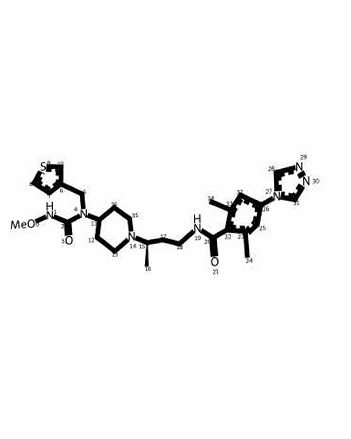 CONC(=O)N(Cc1ccsc1)C1CCN([C@H](C)CCNC(=O)c2c(C)cc(-n3cnnc3)cc2C)CC1